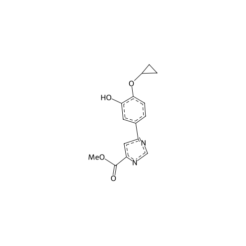 COC(=O)c1cc(-c2ccc(OC3CC3)c(O)c2)ncn1